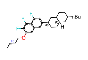 C/C=C/COc1cc2cc([C@@H]3CC[C@@H]4CC(CCCC)CCC4C3)cc(F)c2c(F)c1F